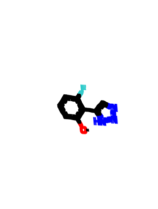 [O]c1cccc(F)c1-c1cnn[nH]1